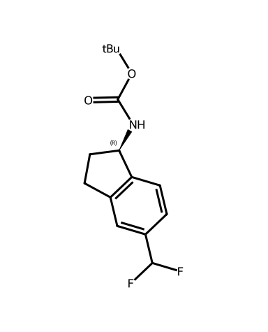 CC(C)(C)OC(=O)N[C@@H]1CCc2cc(C(F)F)ccc21